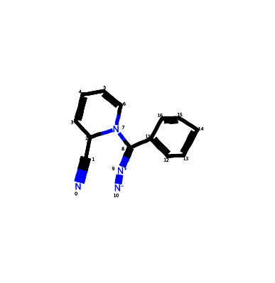 N#CC1C=CC=CN1C(=[N+]=[N-])c1ccccc1